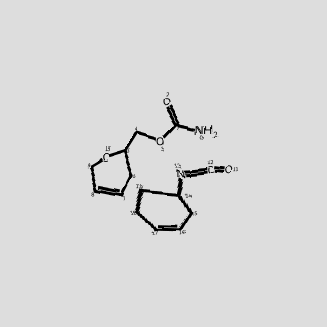 NC(=O)OCC1CC=CCC1.O=C=NC1CC=CCC1